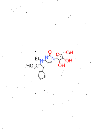 CCN(c1ccn([C@@H]2O[C@H](CO)[C@@H](O)[C@H]2O)c(=O)n1)C(Cc1ccccc1)C(=O)O